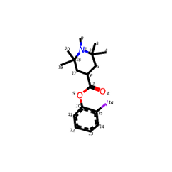 CN1C(C)(C)CC(C(=O)Oc2ccccc2I)CC1(C)C